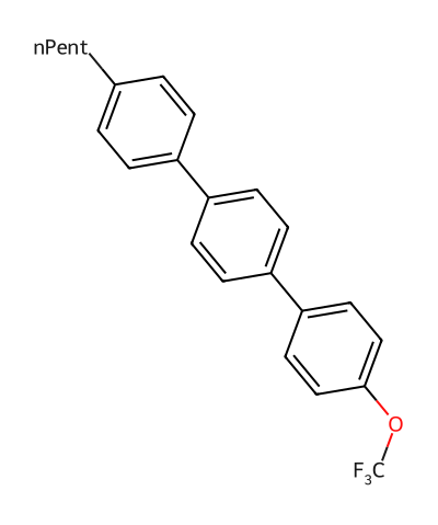 CCCCCc1ccc(-c2ccc(-c3ccc(OC(F)(F)F)cc3)cc2)cc1